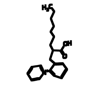 CCCCCCCC(Cc1ccccc1-[n+]1ccccc1)C(=O)O